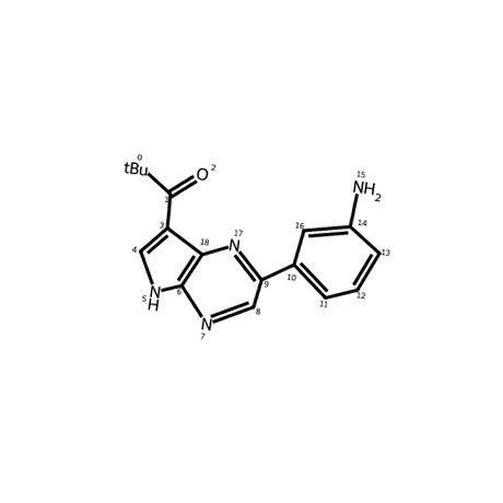 CC(C)(C)C(=O)c1c[nH]c2ncc(-c3cccc(N)c3)nc12